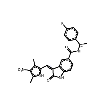 Cc1[nH]c(/C=C2\C(=O)Nc3ccc(C(=O)N[C@H](C)c4ccc(F)cc4)cc32)c(C)c1[N+](=O)[O-]